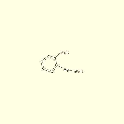 CCCC[CH2][Mg][c]1ccccc1CCCCC